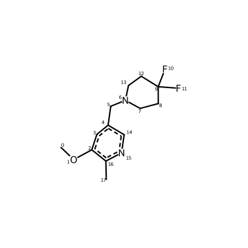 COc1cc(CN2CCC(F)(F)CC2)cnc1C